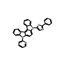 c1ccc(-c2ncc(-n3c4ccccc4c4c5c6ccccc6n(-c6ccccn6)c5ccc43)s2)cc1